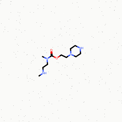 CNCCN(C)C(=O)OCCN1CCNCC1